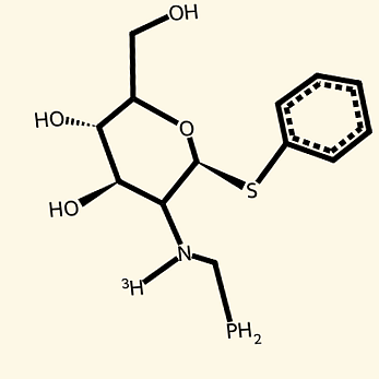 [3H]N(CP)C1[C@@H](O)[C@H](O)C(CO)O[C@H]1Sc1ccccc1